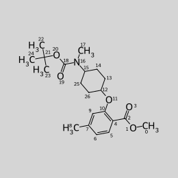 COC(=O)c1ccc(C)cc1OC1CCC(N(C)C(=O)OC(C)(C)C)CC1